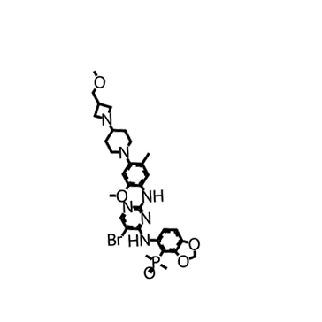 COCC1CN(C2CCN(c3cc(OC)c(Nc4ncc(Br)c(Nc5ccc6c(c5P(C)(C)=O)OCO6)n4)cc3C)CC2)C1